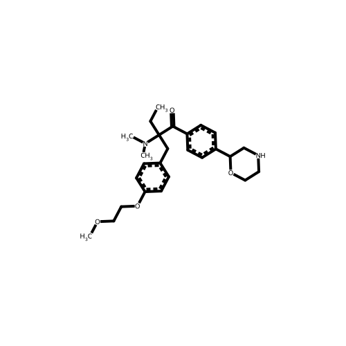 CCC(Cc1ccc(OCCOC)cc1)(C(=O)c1ccc(C2CNCCO2)cc1)N(C)C